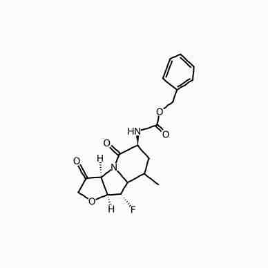 CC1C[C@H](NC(=O)OCc2ccccc2)C(=O)N2C1[C@H](F)[C@H]1OCC(=O)[C@H]12